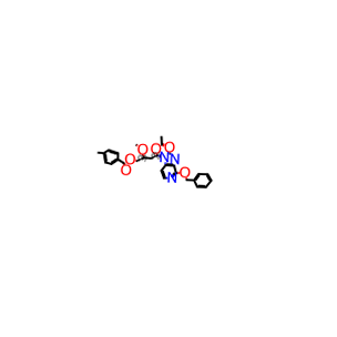 CO[C@H](COC(=O)c1ccc(C)cc1)C[C@@H](OC(C)=O)n1cnc2c(OCc3ccccc3)nccc21